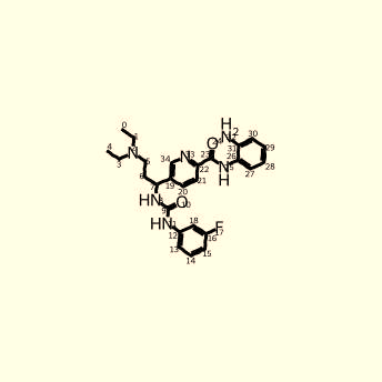 CCN(CC)CCC(NC(=O)Nc1cccc(F)c1)c1ccc(C(=O)Nc2ccccc2N)nc1